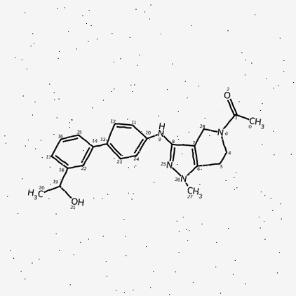 CC(=O)N1CCc2c(c(Nc3ccc(-c4cccc(C(C)O)c4)cc3)nn2C)C1